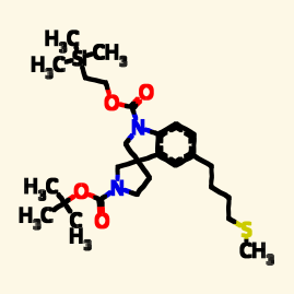 CSCCCCc1ccc2c(c1)C1(CCN(C(=O)OC(C)(C)C)C1)CN2C(=O)OCC[Si](C)(C)C